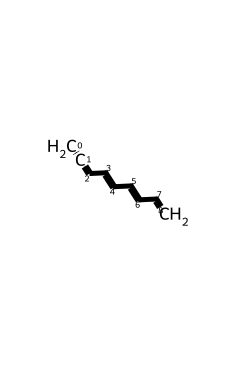 C=C=CC=CC=CC=C